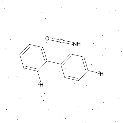 N=C=O.[2H]c1ccc(-c2ccccc2[2H])cc1